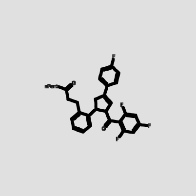 CCCCCC(=O)CCc1ccccc1C1CC(c2ccc(F)cc2)=CC1C(=O)c1c(F)cc(F)cc1F